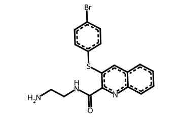 NCCNC(=O)c1nc2ccccc2cc1Sc1ccc(Br)cc1